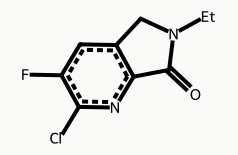 CCN1Cc2cc(F)c(Cl)nc2C1=O